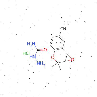 CC1(C)Oc2ccc(C#N)cc2C2OC21.Cl.NNC(N)=O